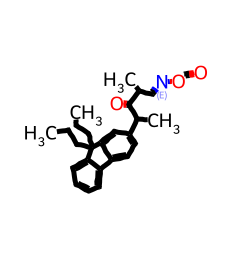 CCCC1(CCC)c2ccccc2-c2ccc(C(C)C(=O)C(C)/C=N/OC=O)cc21